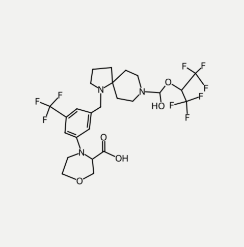 O=C(O)C1COCCN1c1cc(CN2CCCC23CCN(C(O)OC(C(F)(F)F)C(F)(F)F)CC3)cc(C(F)(F)F)c1